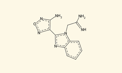 N=C(N)Cn1c(-c2nonc2N)nc2ccccc21